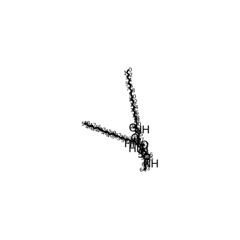 CCC=CCC=CCC=CCC=CCC=CCC=CCCC(=O)NCCCC[C@H](NC(=O)CCCC=CCC=CCC=CCC=CCC=CCC)C(=O)Nc1nc2c(s1)C[C@H](NCCC)CC2